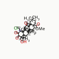 COC(=O)[C@]12CCC(C)(C)C[C@H]1[C@H]1C(=O)C=C3[C@@]4(C)/C(=C/Cl)C(=O)C(=O)[C@](C)(CO)[C@@H]4CC[C@@]3(C)[C@]1(C)CC2